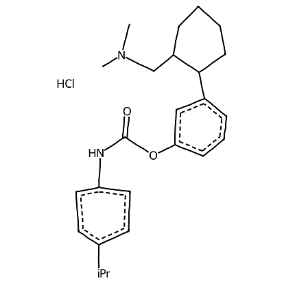 CC(C)c1ccc(NC(=O)Oc2cccc(C3CCCCC3CN(C)C)c2)cc1.Cl